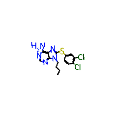 CCCCn1c(Sc2ccc(Cl)c(Cl)c2)nc2c(N)ncnc21